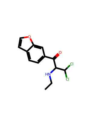 CCNC(C(=O)c1ccc2ccoc2c1)C(Cl)Cl